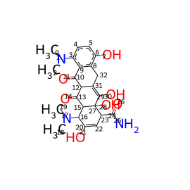 CN(C)c1ccc(O)c2c1C(=O)C1C(=O)C3C(N(C)C)C(O)=CC(C(N)=O)C3(O)C(O)=C1C2